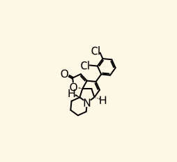 O=C1C=C2C(c3cccc(Cl)c3Cl)=C[C@@H]3C[C@@]2(O1)[C@H]1CCCCN31